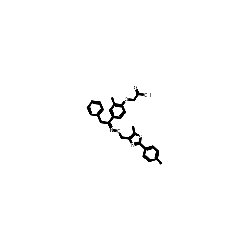 Cc1ccc(-c2nc(CO/N=C(/Cc3ccccc3)c3ccc(OCC(=O)O)c(C)c3)c(C)o2)cc1